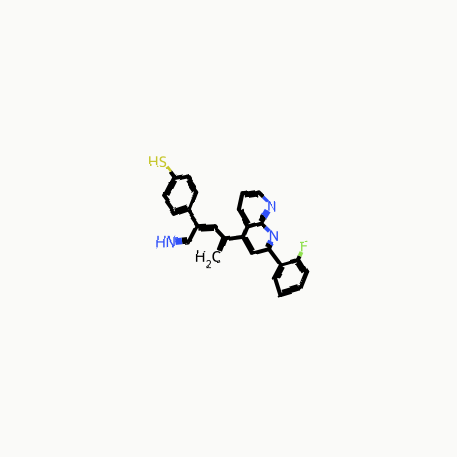 C=C(/C=C(\C=N)c1ccc(S)cc1)c1cc(-c2ccccc2F)nc2ncccc12